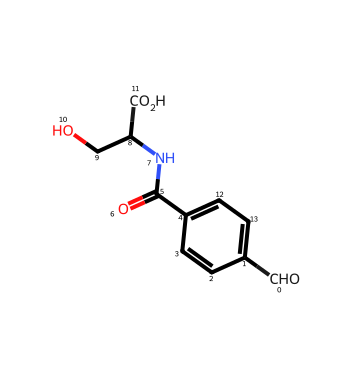 O=Cc1ccc(C(=O)NC(CO)C(=O)O)cc1